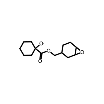 [O]C1(C(=O)OCC2CCC3OC3C2)CCCCC1